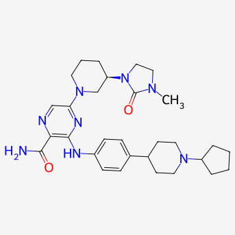 CN1CCN([C@@H]2CCCN(c3cnc(C(N)=O)c(Nc4ccc(C5CCN(C6CCCC6)CC5)cc4)n3)C2)C1=O